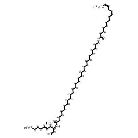 CCCCC/C=C\C/C=C\CCCCCCCC(=O)OCCCCCCCCCCCCCCCCCCCCCCCCCCCCCC(=O)NC(CO)C(O)/C=C/CCCCCCCCCCCCC